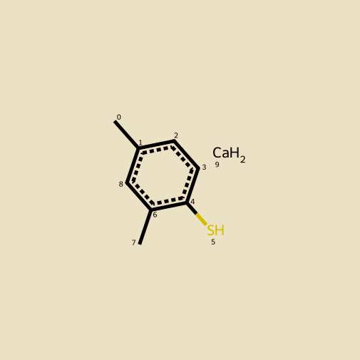 Cc1ccc(S)c(C)c1.[CaH2]